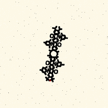 Cc1cc(C)c(-n2c3cc(C(C)C)c(C(C)C)cc3c(=O)c3cc4c(cc32)c(=O)c2cc3c(cc2n4-c2c(C)cc(C)cc2C)C(C)CC(C)(C)c2cc4c(=O)c5cc6c(cc5n(-c5c(C)cc(C)cc5C)c4cc2C(C)(C)CC3C)c(=O)c2cc(C(C)(C)C)c(C(C)(C)C)cc2n6-c2c(C)cc(C)cc2C)c(C)c1